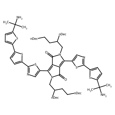 CCCCCCCCCCCCC(CCCCCCCCCC)CN1C(=O)C2=C(c3cnc(-c4ccc(C(C)(C)N)s4)s3)N(CC(CCCCCCCCCC)CCCCCCCCCCCC)C(=O)C2=C1c1cnc(-c2ccc(-c3ccc(C(C)(C)N)s3)s2)s1